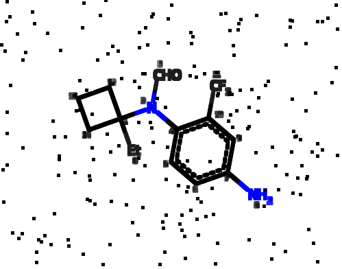 CCC1(N(C=O)c2ccc(N)cc2C(F)(F)F)CCC1